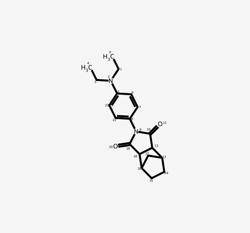 CCN(CC)c1ccc(N2C(=O)C3C4CCC(C4)C3C2=O)cc1